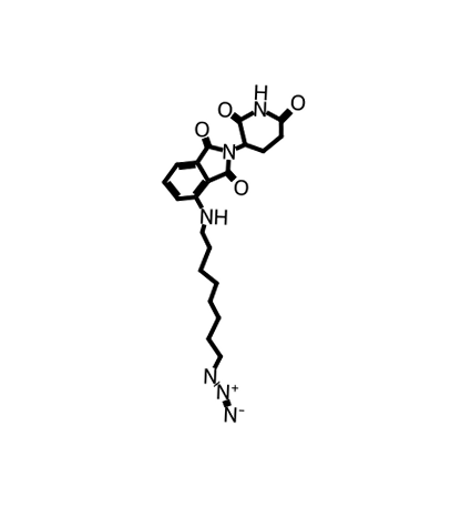 [N-]=[N+]=NCCCCCCCCNc1cccc2c1C(=O)N(C1CCC(=O)NC1=O)C2=O